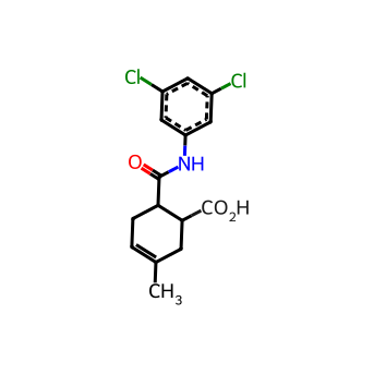 CC1=CCC(C(=O)Nc2cc(Cl)cc(Cl)c2)C(C(=O)O)C1